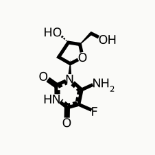 Nc1c(F)c(=O)[nH]c(=O)n1[C@H]1C[C@H](O)[C@@H](CO)O1